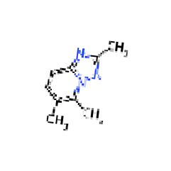 Cc1nc2ccc(C)c(C)n2n1